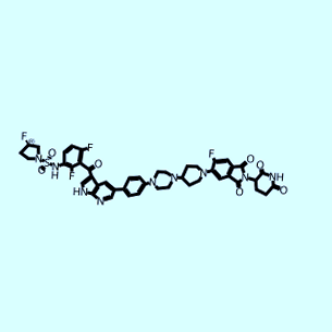 O=C1CCC(N2C(=O)c3cc(F)c(N4CCC(N5CCN(c6ccc(-c7cnc8[nH]cc(C(=O)c9c(F)ccc(NS(=O)(=O)N%10CC[C@@H](F)C%10)c9F)c8c7)cc6)CC5)CC4)cc3C2=O)C(=O)N1